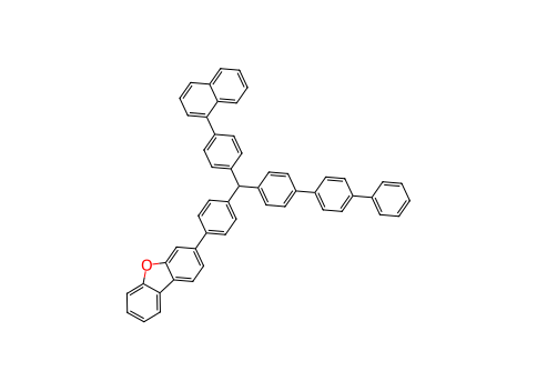 c1ccc(-c2ccc(-c3ccc(C(c4ccc(-c5ccc6c(c5)oc5ccccc56)cc4)c4ccc(-c5cccc6ccccc56)cc4)cc3)cc2)cc1